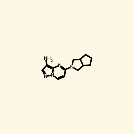 Nc1cnn2ccc(N3CC4CCCC4C3)nc12